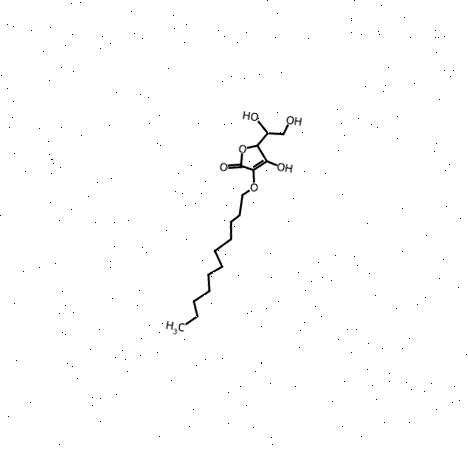 CCCCCCCCCCCOC1=C(O)C(C(O)CO)OC1=O